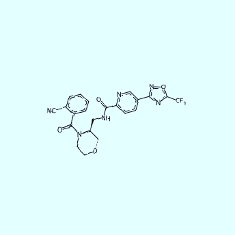 N#Cc1ccccc1C(=O)N1CCOC[C@@H]1CNC(=O)c1ccc(-c2noc(C(F)(F)F)n2)cn1